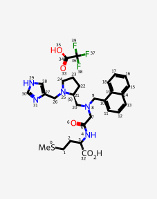 CSCCC(NC(=O)CN(Cc1cccc2ccccc12)C[C@@H]1CCCN1Cc1c[nH]cn1)C(=O)O.O=C(O)C(F)(F)F